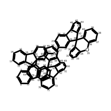 c1ccc(C2(c3ccccc3)c3ccccc3-c3ccc(N(c4ccc5c(c4)C4(c6ccccc6Oc6ccccc64)c4ccccc4-5)c4cccc5c4C4(c6ccccc6Oc6ccccc64)c4ccccc4-5)cc32)cc1